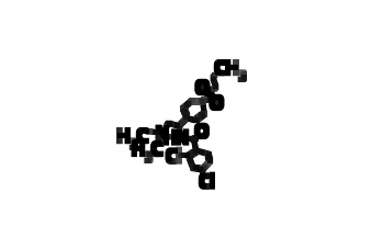 CCCS(=O)(=O)c1ccc(C(CN(CC)CC)NC(=O)c2ccc(Cl)cc2Cl)cc1